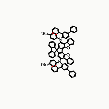 CC(C)(C)c1ccc(N(c2ccc(-c3ccccc3)cc2-c2ccccc2)c2cc3c(c4oc5ccccc5c24)-c2c(cc(N(c4ccc(C(C)(C)C)cc4)c4ccc(-c5ccccc5)cc4-c4ccccc4)c4c2oc2ccccc24)C32c3ccccc3-c3ccccc32)cc1